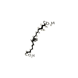 Br.Br.O=C(O)CCCCCCCCCCCCCCCCC(=O)O